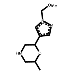 COCn1cc(C2CNCC(C)O2)cn1